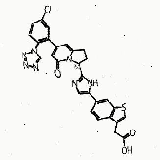 O=C(O)Cc1csc2cc(-c3cnc([C@@H]4CCc5cc(-c6cc(Cl)ccc6-n6cnnn6)cc(=O)n54)[nH]3)ccc12